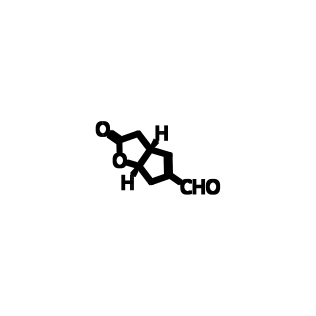 O=CC1=C[C@H]2CC(=O)O[C@H]2C1